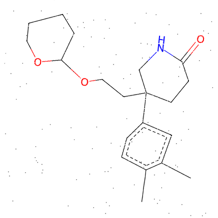 Cc1ccc(C2(CCOC3CCCCO3)CCC(=O)NC2)cc1C